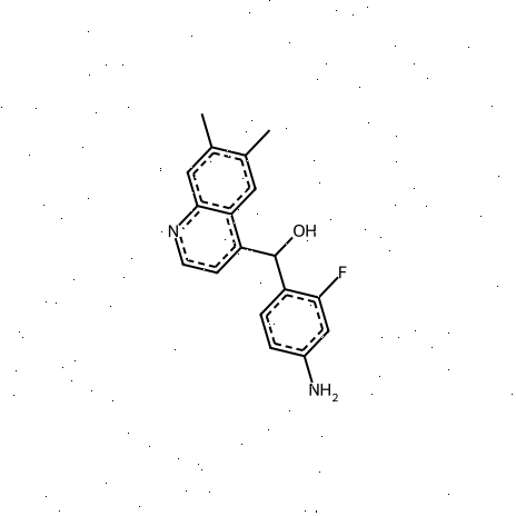 Cc1cc2nccc(C(O)c3ccc(N)cc3F)c2cc1C